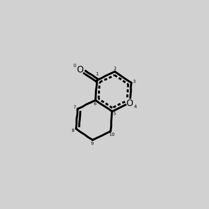 O=c1ccoc2c1C=CCC2